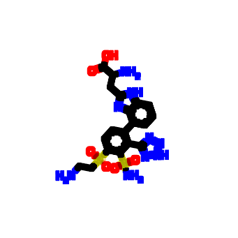 NCCS(=O)(=O)c1ccc(-c2cccc3[nH]c(CC(N)C(=O)O)nc23)c(-c2nn[nH]n2)c1S(N)(=O)=O